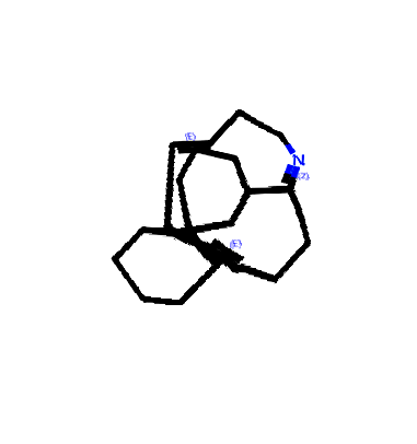 C1=C/CC/N=C(\C2CCCC3(CCCCC3)C2)CC/C=C/CC/1